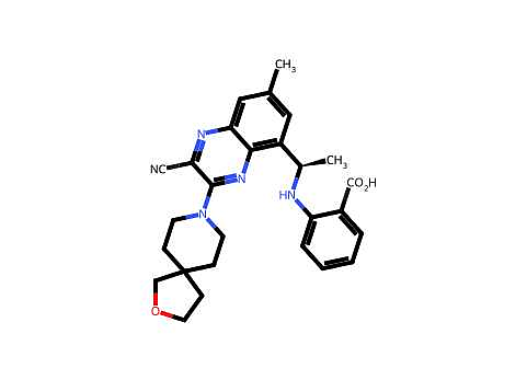 Cc1cc([C@@H](C)Nc2ccccc2C(=O)O)c2nc(N3CCC4(CCOC4)CC3)c(C#N)nc2c1